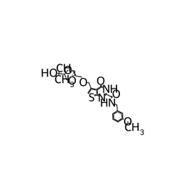 COc1cccc(CNC(=O)c2nc3scc(COCC4COC(C(C)(C)O)CO4)c3c(=O)[nH]2)c1